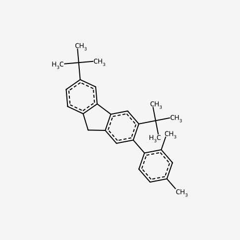 Cc1ccc(-c2cc3c(cc2C(C)(C)C)-c2cc(C(C)(C)C)ccc2C3)c(C)c1